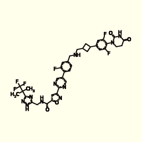 CC(C)(c1n[nH]c(CNC(=O)c2cc(-c3ncc(-c4ccc(CNCC5CC(c6cc(F)c(N7CCC(=O)NC7=O)c(F)c6)C5)cc4F)cn3)no2)n1)C(F)(F)F